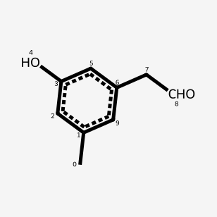 Cc1cc(O)cc(CC=O)c1